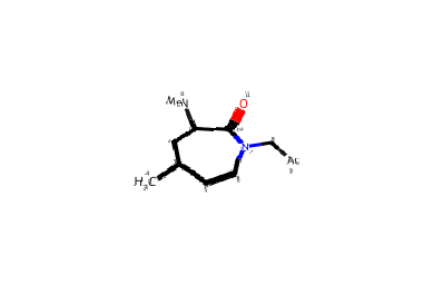 CNC1CC(C)CCN(CC(C)=O)C1=O